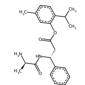 Cc1ccc(C(C)C)c(OC(=O)C[C@@H](NC(=O)[C@@H](C)N)c2ccccc2)c1